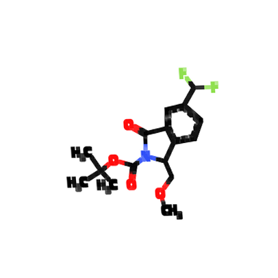 COCC1c2ccc(C(F)F)cc2C(=O)N1C(=O)OC(C)(C)C